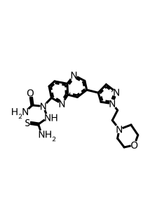 NC(=O)N(NC(N)=S)c1ccc2ncc(-c3cnn(CCN4CCOCC4)c3)cc2n1